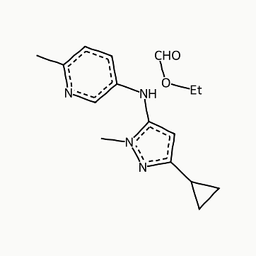 CCOC=O.Cc1ccc(Nc2cc(C3CC3)nn2C)cn1